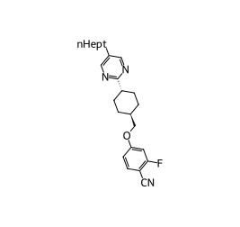 CCCCCCCc1cnc([C@H]2CC[C@H](COc3ccc(C#N)c(F)c3)CC2)nc1